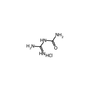 Cl.N=C(N)NC(N)=O